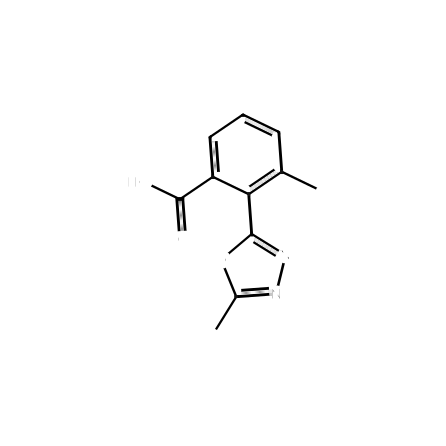 Cc1nnc(-c2c(C)cccc2C(=O)O)o1